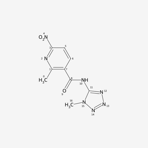 Cc1nc([N+](=O)[O-])ccc1C(=O)Nc1nnnn1C